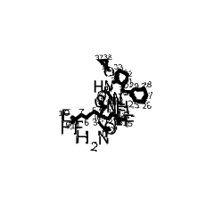 NC(=O)C[C@@](CCCC(F)(F)F)(CCC(F)(F)F)C(=O)N[C@H]1N=C(c2ccccc2)c2cccc(OC3CC3)c2NC1=O